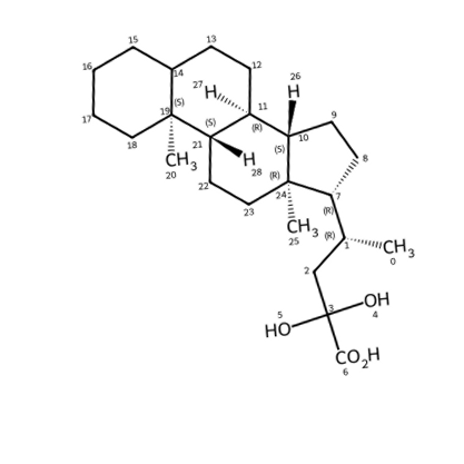 C[C@H](CC(O)(O)C(=O)O)[C@H]1CC[C@H]2[C@@H]3CCC4CCCC[C@]4(C)[C@H]3CC[C@]12C